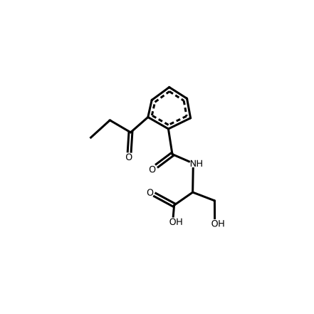 CCC(=O)c1ccccc1C(=O)NC(CO)C(=O)O